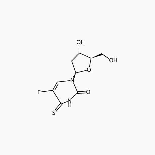 O=c1[nH]c(=S)c(F)cn1[C@H]1C[C@H](O)[C@@H](CO)O1